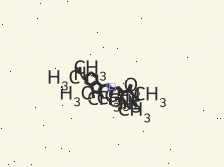 CC1=C(/C=C(\C)C=C2C(=O)N(C)C(=S)N(C)C2=O)c2ccc(N(C)C)cc2C1(C)C